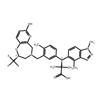 Cc1ccc([C@@H](c2ccc3c(nnn3C)c2C)C(C)(C)C(=O)O)cc1CN1Cc2nc(O)ccc2O[C@H](C(F)(F)F)C1